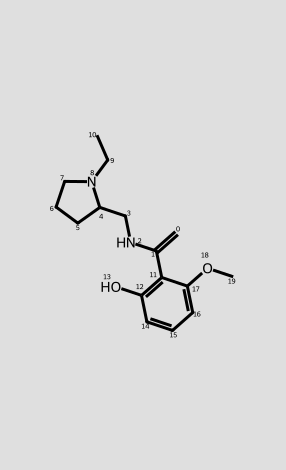 C=C(NCC1CCCN1CC)c1c(O)cccc1OC